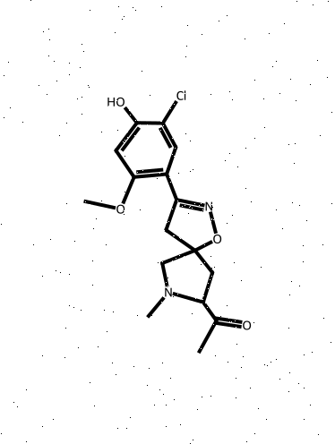 COc1cc(O)c(Cl)cc1C1=NOC2(C1)CC(C(C)=O)N(C)C2